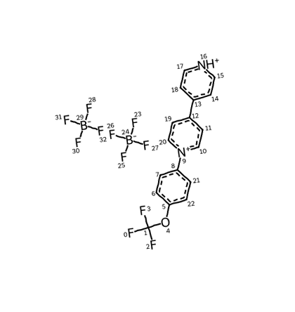 FC(F)(F)Oc1ccc(-[n+]2ccc(-c3cc[nH+]cc3)cc2)cc1.F[B-](F)(F)F.F[B-](F)(F)F